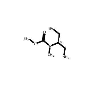 CC(C)C[C@@H](CN)N(C)C(=O)OC(C)(C)C